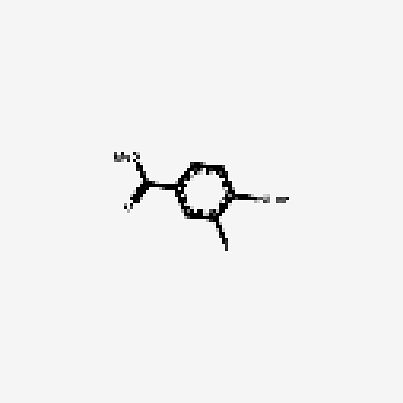 COC(=O)c1ccc(NC(C)=O)c(I)c1